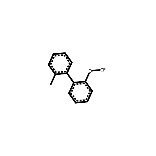 Cc1ccccc1-c1ccccc1OC(F)(F)F